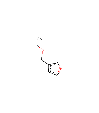 C=COCc1ccoc1